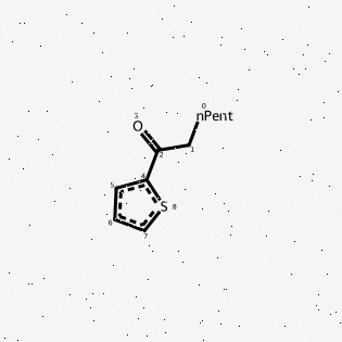 CCCCCCC(=O)c1cccs1